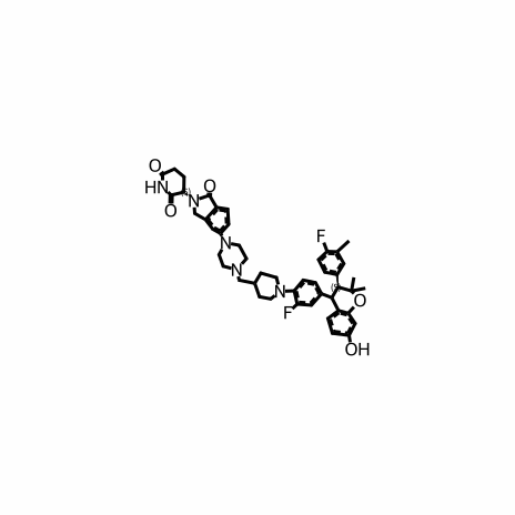 Cc1cc([C@@H]2C(c3ccc(N4CCC(CN5CCN(c6ccc7c(c6)CN([C@H]6CCC(=O)NC6=O)C7=O)CC5)CC4)c(F)c3)c3ccc(O)cc3OC2(C)C)ccc1F